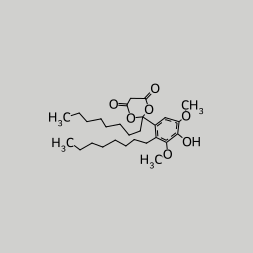 CCCCCCCCc1c(C2(CCCCCCCC)OC(=O)CC(=O)O2)cc(OC)c(O)c1OC